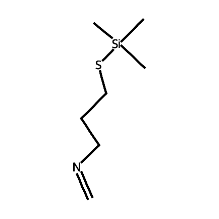 C=NCCCS[Si](C)(C)C